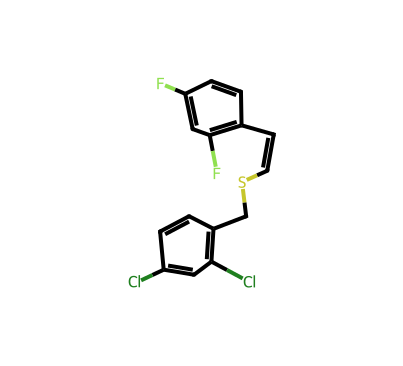 Fc1ccc(/C=C\SCc2ccc(Cl)cc2Cl)c(F)c1